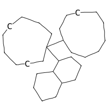 C1CCCCC(C2(C3CCCC4CCCCC43)CCCCCCCCC2)CCCC1